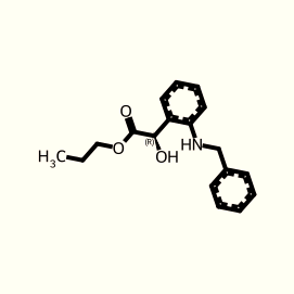 CCCOC(=O)[C@H](O)c1ccccc1NCc1ccccc1